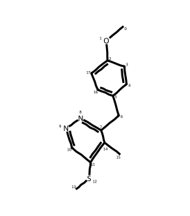 COc1ccc(Cc2nncc(SC)c2C)cc1